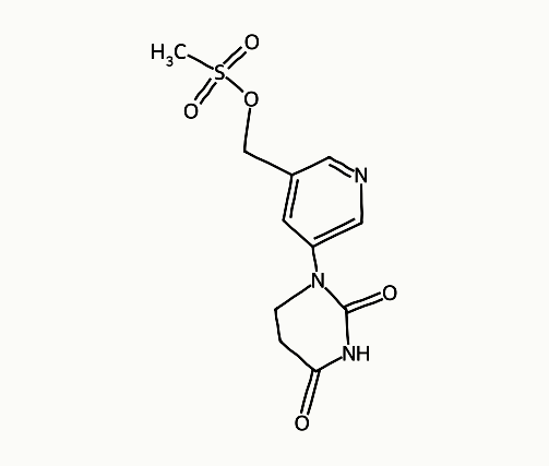 CS(=O)(=O)OCc1cncc(N2CCC(=O)NC2=O)c1